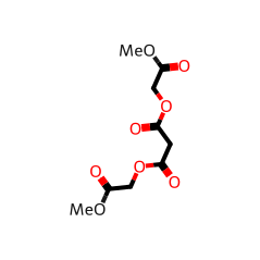 COC(=O)COC(=O)CC(=O)OCC(=O)OC